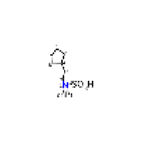 [CH2]CCN(CCC1CCCC1)S(=O)(=O)O